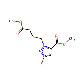 COC(=O)CCCn1nc(Br)cc1C(=O)OC